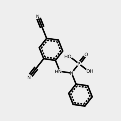 N#Cc1ccc(NN(c2ccccc2)P(=O)(O)O)c(C#N)c1